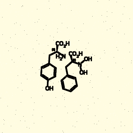 N[C@@H](Cc1ccc(O)cc1)C(=O)O.O=C(O)[C@H](Cc1ccccc1)N(O)O